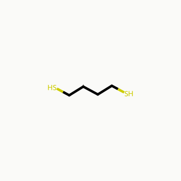 SC[CH]CCS